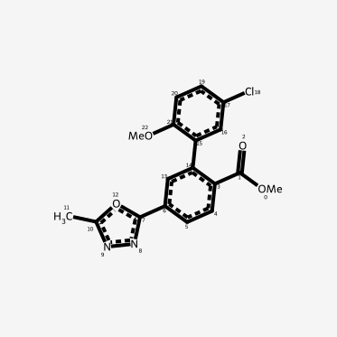 COC(=O)c1ccc(-c2nnc(C)o2)cc1-c1cc(Cl)ccc1OC